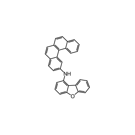 c1ccc2c(c1)ccc1ccc3ccc(Nc4cccc5oc6ccccc6c45)cc3c12